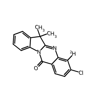 [2H]c1c(Cl)ccc2c(=O)n3c(nc12)C(C)(C)c1ccccc1-3